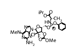 CNc1nc(N)nc2c1ncn2[C@@H]1O[C@H](CO[P@](=O)(N[C@@H](C)C(=O)OC(C)C)Oc2ccccc2)[C@@H](OC(=O)OC)[C@]1(F)Cl